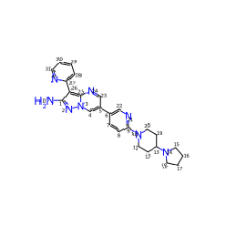 Nc1nn2cc(-c3ccc(N4CCC(N5CCCC5)CC4)nc3)cnc2c1-c1ccccn1